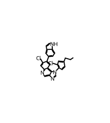 CCCc1ccc(-n2cnc3cnc4cc(Cl)c(-c5ccc6[nH]ccc6c5)cc4c32)c(Cl)c1